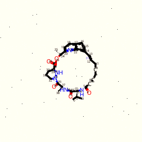 CC(C)[C@@H]1NC(=O)CCCCC/C=C/c2ccc3ccc(nc3c2)[C@@H](C)OC(=O)[C@@H]2CCCN(N2)C(=O)[C@H](C)NC1=O